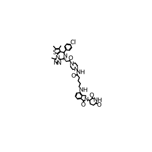 Cc1sc2c(c1C)C(c1ccc(Cl)cc1)=N[C@@H](CC(=O)N1CCN(NC(=O)CCCCNc3cccc4c3CN(C3CCC(=O)NC3=O)C4=O)CC1)c1nnc(C)n1-2